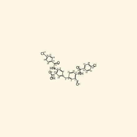 O=Cc1cc(Cc2ccc(NC(=O)c3ccc(Cl)cc3)c(C(=O)O)c2)ccc1NC(=O)c1ccc(Cl)cc1